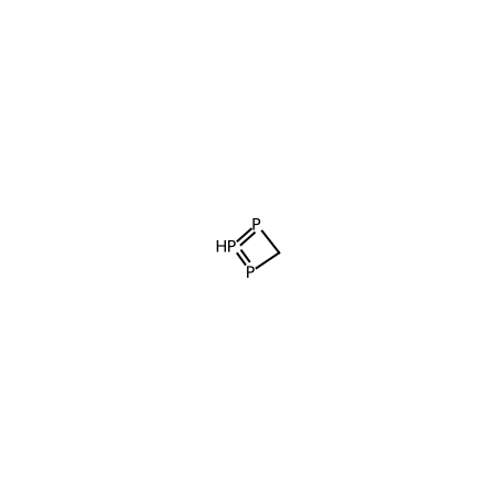 C1P=[PH]=P1